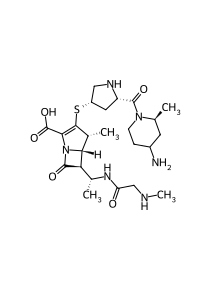 CNCC(=O)N[C@H](C)[C@H]1C(=O)N2C(C(=O)O)=C(S[C@@H]3CN[C@H](C(=O)N4CCC(N)C[C@@H]4C)C3)[C@H](C)[C@H]12